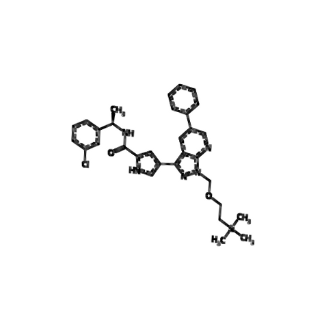 C[C@@H](NC(=O)c1cc(-c2nn(COCC[Si](C)(C)C)c3ncc(-c4ccccc4)cc23)c[nH]1)c1cccc(Cl)c1